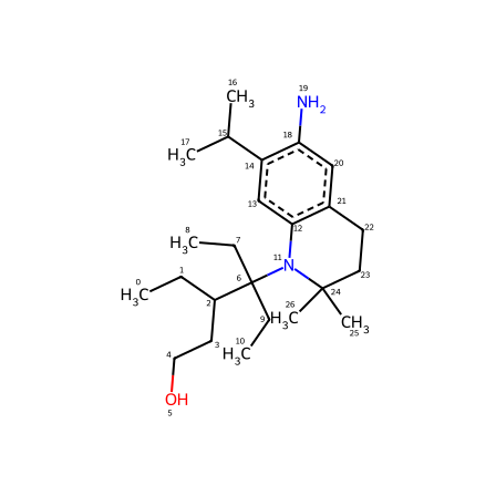 CCC(CCO)C(CC)(CC)N1c2cc(C(C)C)c(N)cc2CCC1(C)C